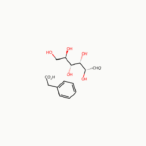 O=C(O)Cc1ccccc1.O=C[C@H](O)[C@@H](O)[C@H](O)[C@H](O)CO